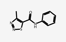 Cc1nnsc1C(=O)Nc1c[c]ccc1